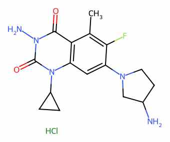 Cc1c(F)c(N2CCC(N)C2)cc2c1c(=O)n(N)c(=O)n2C1CC1.Cl